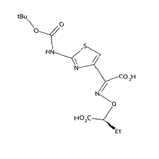 CC[C@H](O/N=C(\C(=O)O)c1csc(NC(=O)OC(C)(C)C)n1)C(=O)O